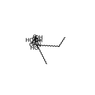 CCCCCCCC/C=C\CCCCCCCCCCCCCCNC(CO[C@@H]1OC(CO)[C@H](O)C(OS(=O)(=O)O)C1O)C(O)/C=C/CCCCCCCCCCCCC